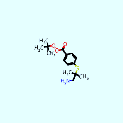 CC(C)(C)OOC(=O)c1ccc(SC(C)(C)CN)cc1